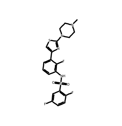 CN1CCN(c2nc(-c3cccc(NS(=O)(=O)c4cc(F)ccc4F)c3F)cs2)CC1